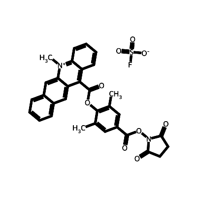 Cc1cc(C(=O)ON2C(=O)CCC2=O)cc(C)c1OC(=O)c1c2ccccc2[n+](C)c2cc3ccccc3cc12.O=S(=O)([O-])F